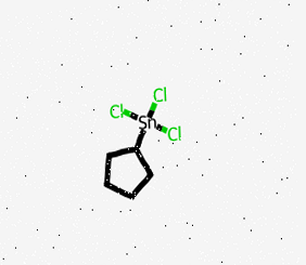 [Cl][Sn]([Cl])([Cl])[CH]1CCCC1